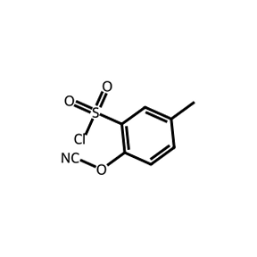 Cc1ccc(OC#N)c(S(=O)(=O)Cl)c1